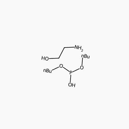 CCCCOP(O)OCCCC.NCCO